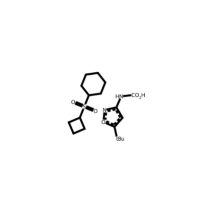 CC(C)(C)c1cc(NC(=O)O)no1.O=S(=O)(C1CCCCC1)C1CCC1